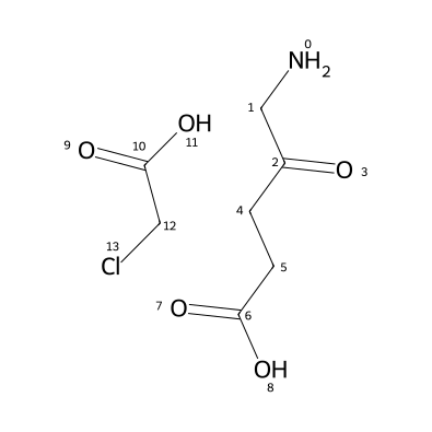 NCC(=O)CCC(=O)O.O=C(O)CCl